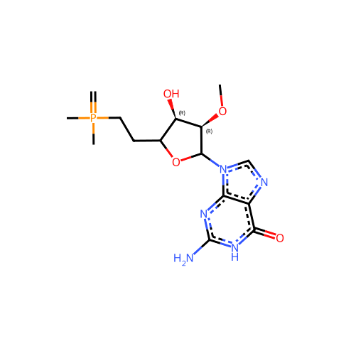 C=P(C)(C)CCC1OC(n2cnc3c(=O)[nH]c(N)nc32)[C@H](OC)[C@@H]1O